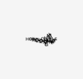 O=C(Nc1nccs1)C(c1ncn2c1C[C@@H](F)C2)n1cc2c(Cl)cc(-c3ccc(C4CCN(C5CC(O)C5)CC4)cc3)c(Cl)c2n1